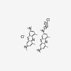 Cc1cc(=[N+](C)C)cc2sc3cc(N(C)C)cc(C)c3nc1-2.Cc1cc(=[N+](C)C)cc2sc3cc(N(C)C)cc(C)c3nc1-2.[Cl-].[Cl-].[Cl][Zn][Cl]